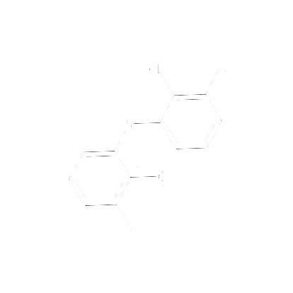 Cc1cccc(Sc2cccc(C)c2Cl)c1Cl